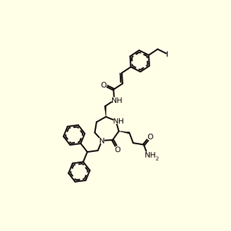 NC(=O)CC[C@@H]1N[C@H](CNC(=O)/C=C/c2ccc(CI)cc2)CCN(CC(c2ccccc2)c2ccccc2)C1=O